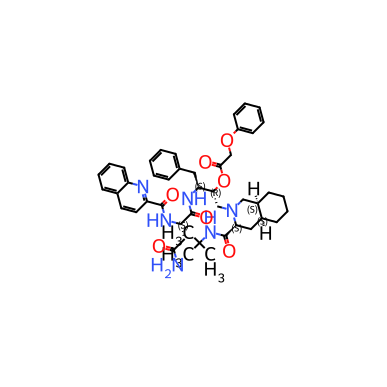 CC(C)(C)NC(=O)[C@@H]1C[C@@H]2CCCC[C@@H]2CN1C[C@@H](OC(=O)COc1ccccc1)[C@H](Cc1ccccc1)NC(=O)[C@H](CC(N)=O)NC(=O)c1ccc2ccccc2n1